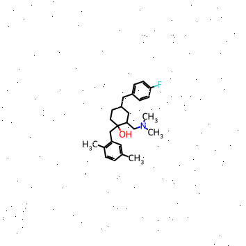 Cc1ccc(C)c(CC2(O)CCC(Cc3ccc(F)cc3)CC2CN(C)C)c1